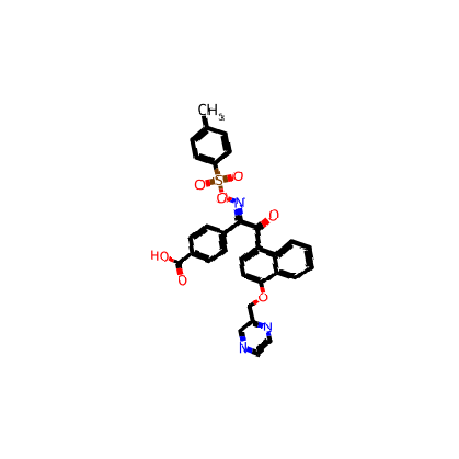 Cc1ccc(S(=O)(=O)O/N=C(/C(=O)c2ccc(OCc3cnccn3)c3ccccc23)c2ccc(C(=O)O)cc2)cc1